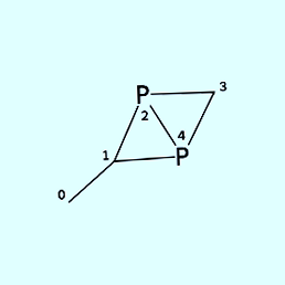 CC1P2CP12